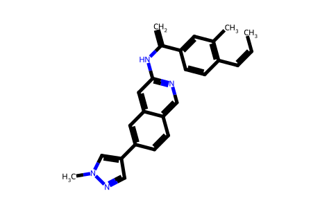 C=C(Nc1cc2cc(-c3cnn(C)c3)ccc2cn1)c1ccc(/C=C\C)c(C)c1